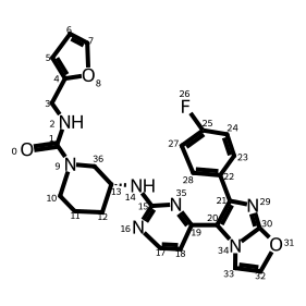 O=C(NCc1ccco1)N1CCC[C@@H](Nc2nccc(-c3c(-c4ccc(F)cc4)nc4occn34)n2)C1